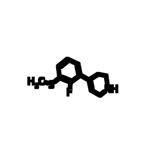 CSc1cccc(C2=CCNCC2)c1F